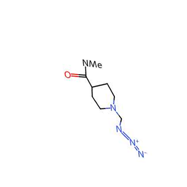 CNC(=O)C1CCN(CN=[N+]=[N-])CC1